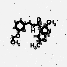 CCOc1cccc(CNC(=O)c2c(C)nc3sc(C)cn23)c1